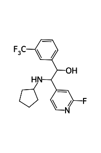 OC(c1cccc(C(F)(F)F)c1)C(NC1CCCC1)c1ccnc(F)c1